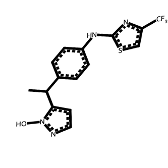 CC(c1ccc(Nc2nc(C(F)(F)F)cs2)cc1)c1ccnn1O